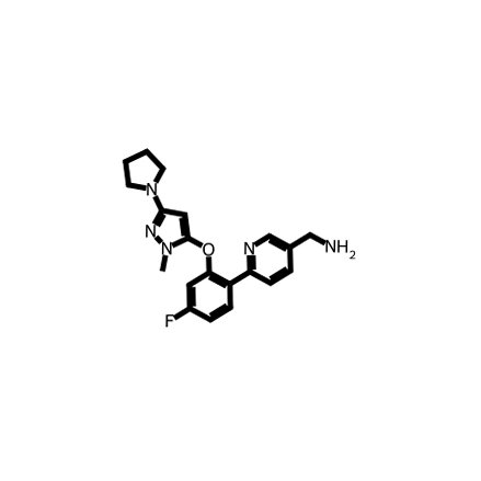 Cn1nc(N2CCCC2)cc1Oc1cc(F)ccc1-c1ccc(CN)cn1